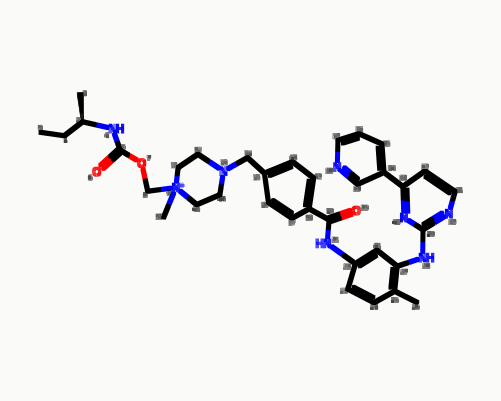 CC[C@@H](C)NC(=O)OC[N+]1(C)CCN(Cc2ccc(C(=O)Nc3ccc(C)c(Nc4nccc(-c5cccnc5)n4)c3)cc2)CC1